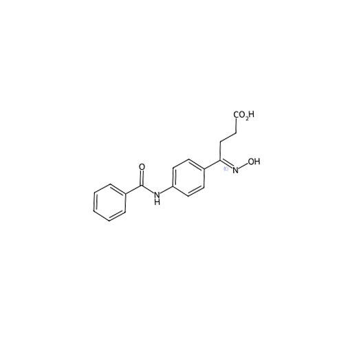 O=C(O)CC/C(=N\O)c1ccc(NC(=O)c2ccccc2)cc1